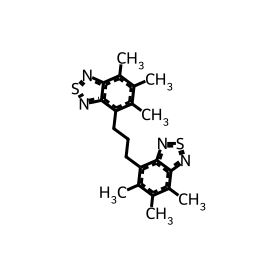 Cc1c(C)c(CCCc2c(C)c(C)c(C)c3nsnc23)c2nsnc2c1C